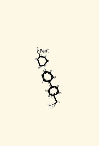 CCCCC[C@H]1CC[C@H](c2ccc(-c3ccc(CO)cc3)cc2)CC1